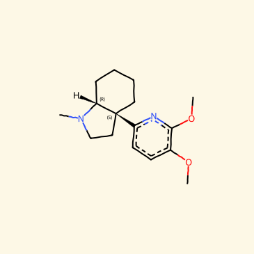 COc1ccc([C@]23CCCC[C@H]2N(C)CC3)nc1OC